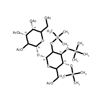 CC(=O)OCC1O[C@H](O[C@H]2OC(COC(C)=O)[C@@H](OC(C)=O)[C@@H](OC(C)=O)C2OC(C)=O)C(O[Si](C)(C)C)[C@@H](O[Si](C)(C)C)[C@@H]1O[Si](C)(C)C